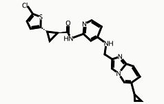 O=C(Nc1cc(NCc2cn3cc(C4CC4)ccc3n2)ccn1)[C@H]1C[C@@H]1c1ccc(Cl)s1